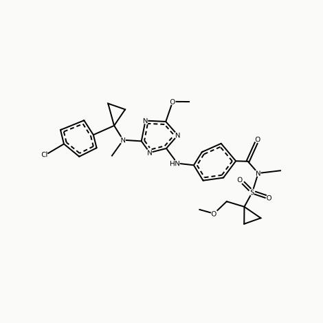 COCC1(S(=O)(=O)N(C)C(=O)c2ccc(Nc3nc(OC)nc(N(C)C4(c5ccc(Cl)cc5)CC4)n3)cc2)CC1